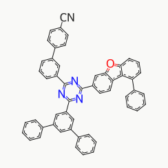 N#Cc1ccc(-c2cccc(-c3nc(-c4cc(-c5ccccc5)cc(-c5ccccc5)c4)nc(-c4ccc5c(c4)oc4cccc(-c6ccccc6)c45)n3)c2)cc1